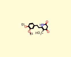 CCOc1ccc(CCC2=C(C(=O)O)C(=O)CC(=O)N2)cc1OCC